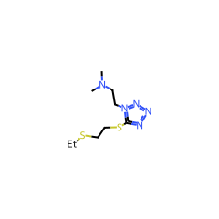 CCSCCSc1nnnn1CCN(C)C